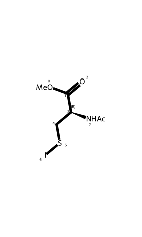 COC(=O)[C@H](CSI)NC(C)=O